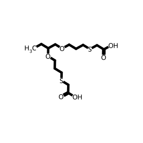 CCC(COCCCSCC(=O)O)OCCCSCC(=O)O